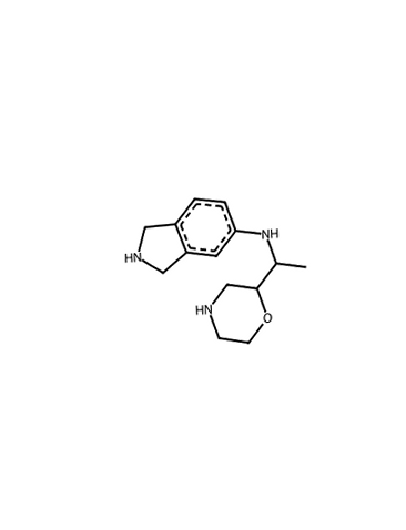 CC(Nc1ccc2c(c1)CNC2)C1CNCCO1